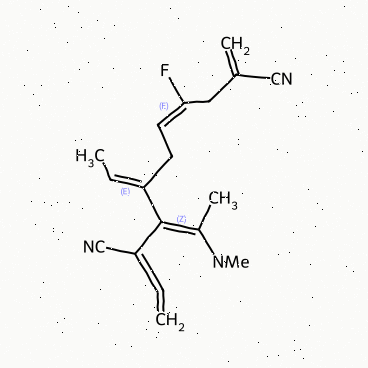 C=C=C(C#N)C(=C(/C)NC)/C(=C/C)C/C=C(/F)CC(=C)C#N